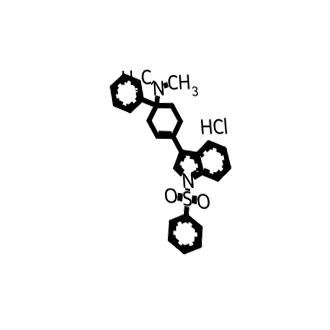 CN(C)C1(c2ccccc2)CC=C(c2cn(S(=O)(=O)c3ccccc3)c3ccccc23)CC1.Cl